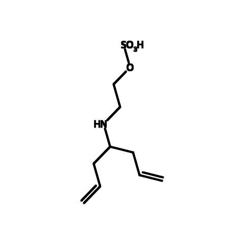 C=CCC(CC=C)NCCOS(=O)(=O)O